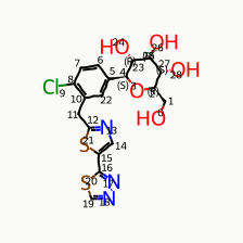 OC[C@H]1O[C@@H](c2ccc(Cl)c(Cc3ncc(-c4nncs4)s3)c2)[C@H](O)[C@@H](O)[C@@H]1O